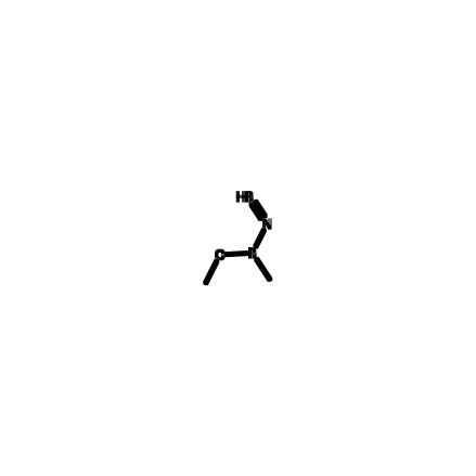 B=NB(C)OC